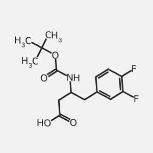 CC(C)(C)OC(=O)NC(CC(=O)O)Cc1ccc(F)c(F)c1